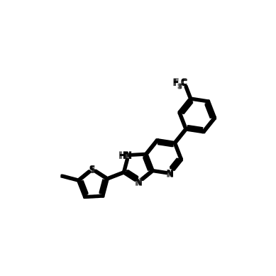 Cc1ccc(-c2nc3ncc(-c4cccc(C(F)(F)F)c4)cc3[nH]2)s1